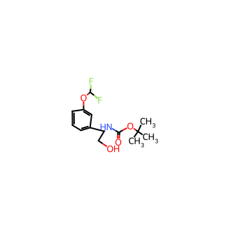 CC(C)(C)OC(=O)NC(CO)c1cccc(OC(F)F)c1